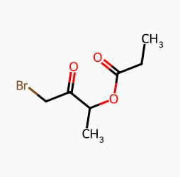 CCC(=O)OC(C)C(=O)CBr